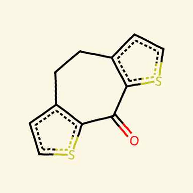 O=C1c2sccc2CCc2ccsc21